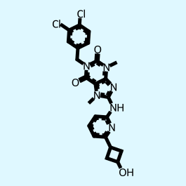 Cn1c(Nc2cccc(C3CC(O)C3)n2)nc2c1c(=O)n(Cc1ccc(Cl)c(Cl)c1)c(=O)n2C